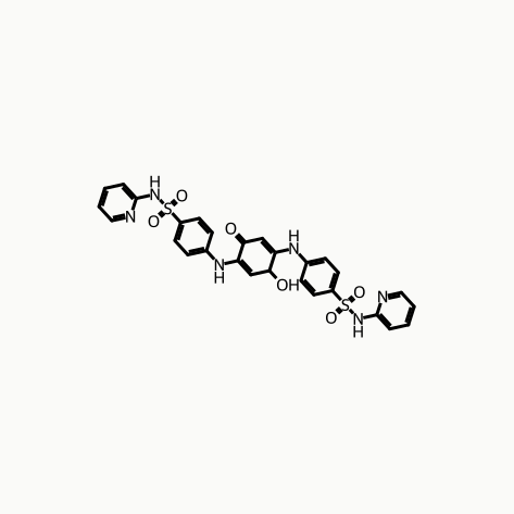 O=C1C=C(Nc2ccc(S(=O)(=O)Nc3ccccn3)cc2)C(O)C=C1Nc1ccc(S(=O)(=O)Nc2ccccn2)cc1